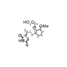 COc1cccc(CCC(C)=C2SC(=S)NC2=O)c1OCC(=O)O